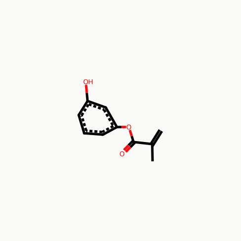 C=C(C)C(=O)Oc1cccc(O)c1